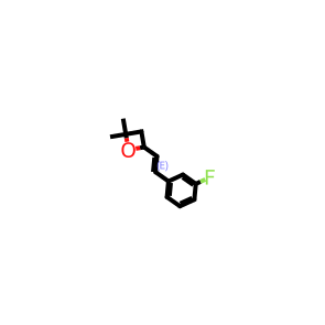 CC1(C)CC(/C=C/c2cccc(F)c2)O1